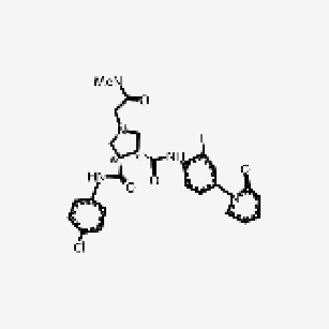 CNC(=O)CN1C[C@H](C(=O)Nc2ccc(Cl)cc2)[C@@H](C(=O)Nc2ccc(-n3ccccc3=O)cc2F)C1